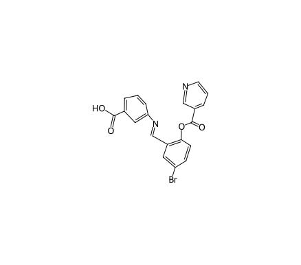 O=C(O)c1cccc(N=Cc2cc(Br)ccc2OC(=O)c2cccnc2)c1